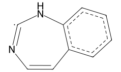 [C]1=NC=Cc2ccccc2N1